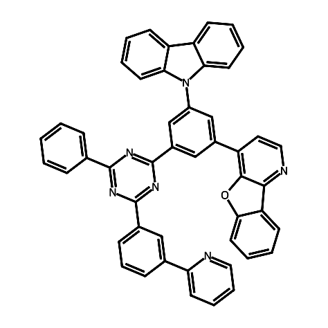 c1ccc(-c2nc(-c3cccc(-c4ccccn4)c3)nc(-c3cc(-c4ccnc5c4oc4ccccc45)cc(-n4c5ccccc5c5ccccc54)c3)n2)cc1